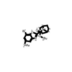 CSc1cc(Br)c2oc(N3CC4CCC(C3)N4C(=O)OC(C)(C)C)nc2c1